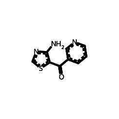 Nc1ncsc1C(=O)c1cccnc1